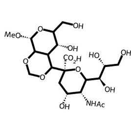 CO[C@@H]1OC(CO)[C@H](O)C2C1OCOC2[C@]1(C(=O)O)C[C@@H](O)[C@@H](NC(C)=O)C([C@H](O)[C@H](O)CO)O1